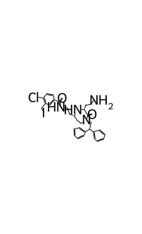 NCC[C@@H]1N[C@H](CCNC(=O)c2ccc(Cl)c(CI)c2)CCN(CC(c2ccccc2)c2ccccc2)C1=O